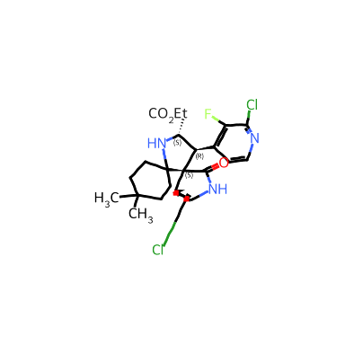 CCOC(=O)[C@H]1NC2(CCC(C)(C)CC2)[C@]2(C(=O)Nc3cc(Cl)ccc32)[C@@H]1c1ccnc(Cl)c1F